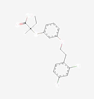 CCC(C)(Sc1cccc(OCCc2ccc(Cl)cc2Cl)c1)C(=O)O